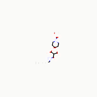 CCOC(=O)CNC(=O)C1C(=O)OC2(CCN(C(=O)OC(C)(C)C)CC2)OC1=O